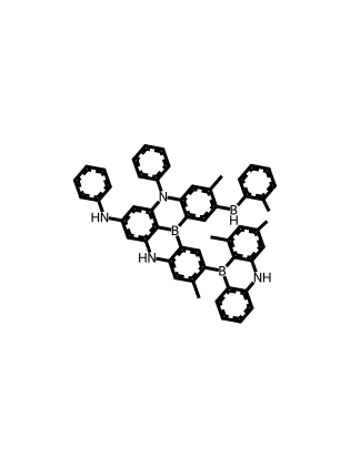 Cc1cc(C)c2c(c1)Nc1ccccc1B2c1cc2c(cc1C)Nc1cc(Nc3ccccc3)cc3c1B2c1cc(Bc2ccccc2C)c(C)cc1N3c1ccccc1